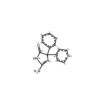 NC1=NC(c2ccccc2)(c2ccncc2)C(=O)N1